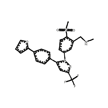 CNCc1cc(-n2nc(C(F)(F)F)cc2-c2ccc(-c3ccco3)cc2)ccc1S(C)(=O)=O